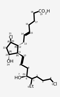 CCC(CCCCl)[C@@H](O)CC=C[C@@H]1[C@@H](CC=CCCCC(=O)O)[C@H](Cl)C[C@H]1O